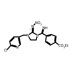 CCOC(=O)c1ccc(C(=N)N2CCN(Cc3ccc(Cl)nc3)/C2=N/[N+](=O)[O-])cc1